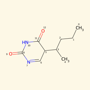 CCCC(C)C1C=NC(=O)NC1=O